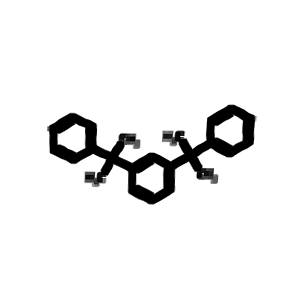 CC(C)(c1cc[c]cc1)c1cccc(C(C)(C)c2cc[c]cc2)c1